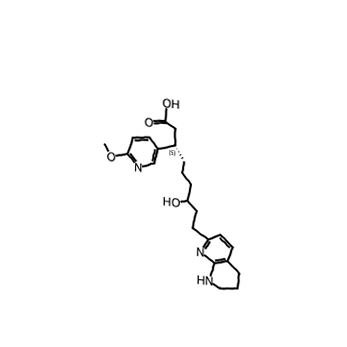 COc1ccc([C@@H](CCCC(O)CCc2ccc3c(n2)NCCC3)CC(=O)O)cn1